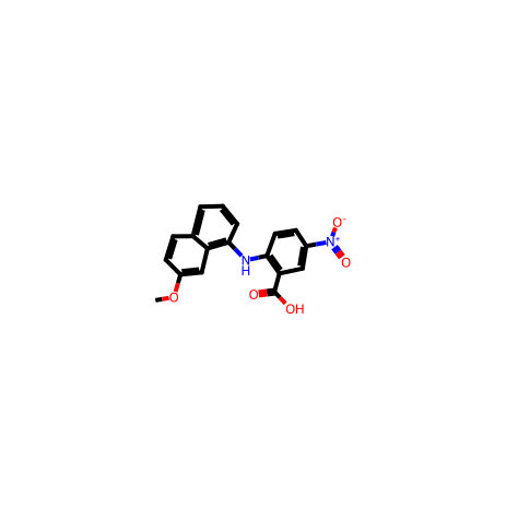 COc1ccc2cccc(Nc3ccc([N+](=O)[O-])cc3C(=O)O)c2c1